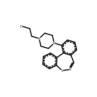 ClCCN1CCN(c2cccc3c2-c2ccccc2SN=C3)CC1